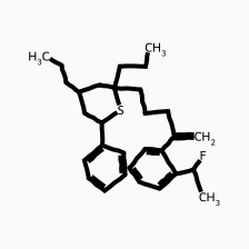 C=C(CCCC1(CCC)CC(CCC)CC(c2ccccc2)S1)c1ccccc1C(C)F